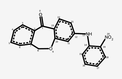 O=C1c2ccccc2COc2cc(Nc3ccccc3[N+](=O)[O-])ccc21